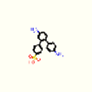 Nc1ccc(-c2ccc(N)cc2-c2ccc(S(=O)(=O)O)cc2)cc1